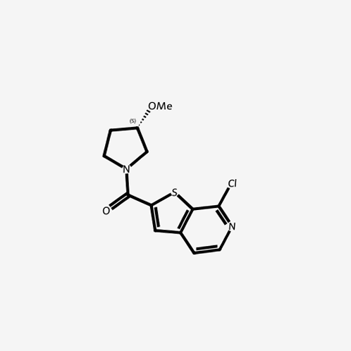 CO[C@H]1CCN(C(=O)c2cc3ccnc(Cl)c3s2)C1